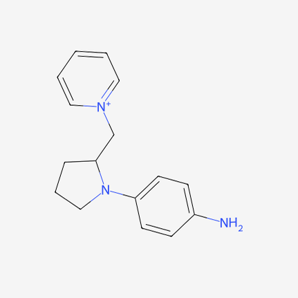 Nc1ccc(N2CCCC2C[n+]2ccccc2)cc1